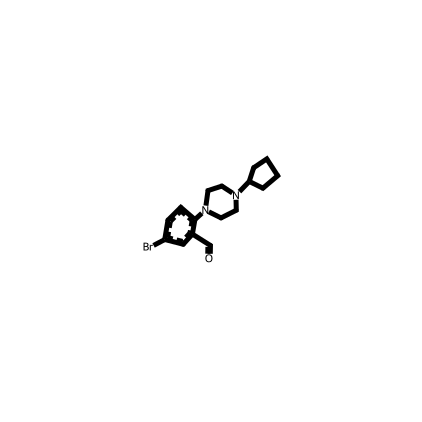 O=Cc1cc(Br)ccc1N1CCN(C2CCCC2)CC1